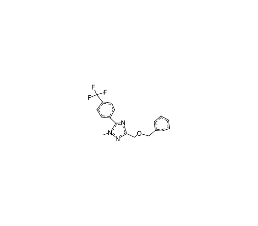 Cn1nc(COCc2ccccc2)nc1-c1ccc(C(F)(F)F)cc1